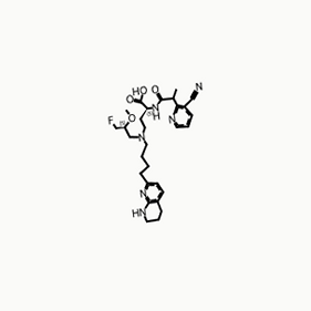 CO[C@H](CF)CN(CCCCc1ccc2c(n1)NCCC2)CC[C@H](NC(=O)C(C)c1ncccc1C#N)C(=O)O